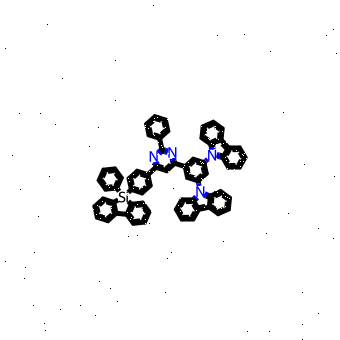 c1ccc(-c2nc(-c3ccc([Si]4(c5ccccc5)c5ccccc5-c5ccccc54)cc3)cc(-c3cc(-n4c5ccccc5c5ccccc54)cc(-n4c5ccccc5c5ccccc54)c3)n2)cc1